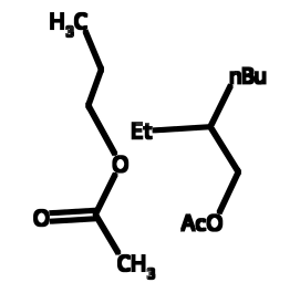 CCCCC(CC)COC(C)=O.CCCOC(C)=O